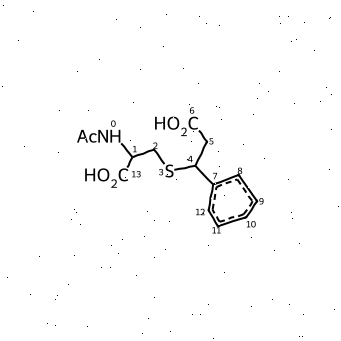 CC(=O)NC(CSC(CC(=O)O)c1ccccc1)C(=O)O